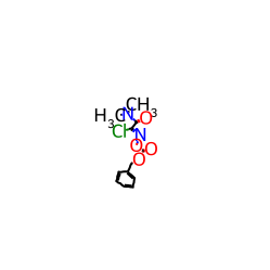 CN(C)C(=O)/C(Cl)=N/OC(=O)OCc1ccccc1